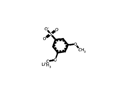 COc1cc(OC)cc(S(=O)(=O)[O-])c1.[Li+]